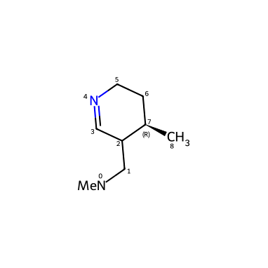 CNCC1C=NCC[C@H]1C